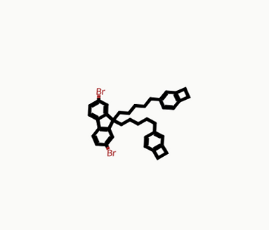 Brc1ccc2c(c1)C(CCCCCc1ccc3c(c1)CC3)(CCCCCc1ccc3c(c1)CC3)c1cc(Br)ccc1-2